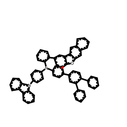 c1ccc(-c2ccc(-c3ccc(N(c4ccc(-n5c6ccccc6c6ccccc65)cc4)c4ccccc4-c4ccc5oc6cc7ccccc7cc6c5c4)cc3)cc2-c2ccccc2)cc1